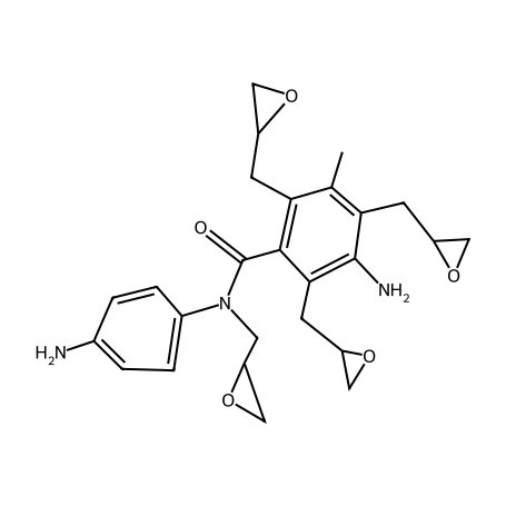 Cc1c(CC2CO2)c(N)c(CC2CO2)c(C(=O)N(CC2CO2)c2ccc(N)cc2)c1CC1CO1